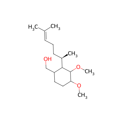 COC1CCC(CO)C([C@H](C)CCC=C(C)C)C1OC